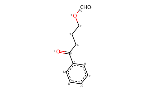 O=[C]OCCCC(=O)c1ccccc1